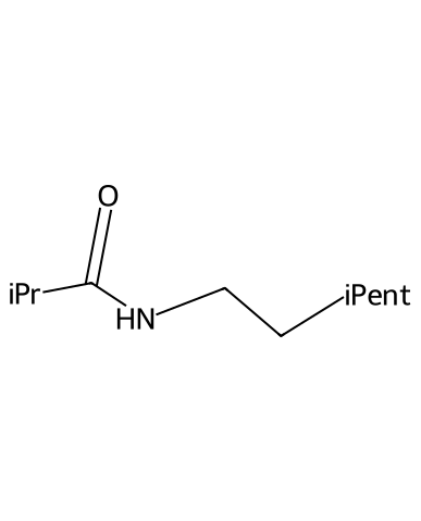 CCCC(C)CCNC(=O)C(C)C